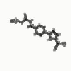 C=C(CC(=O)O)ONc1ccc(-c2nnc(C(=S)S)o2)cc1